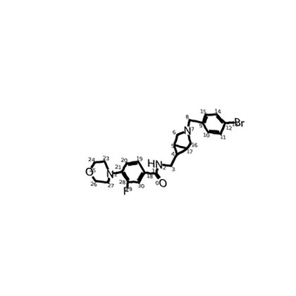 O=C(NCC1C2CN(Cc3ccc(Br)cc3)CC12)c1ccc(N2CCOCC2)c(F)c1